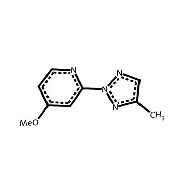 COc1ccnc(-n2ncc(C)n2)c1